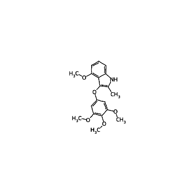 COc1cc(Oc2c(C)[nH]c3cccc(OC)c23)cc(OC)c1OC